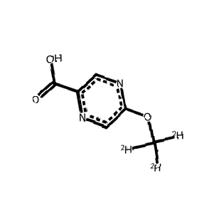 [2H]C([2H])([2H])Oc1cnc(C(=O)O)cn1